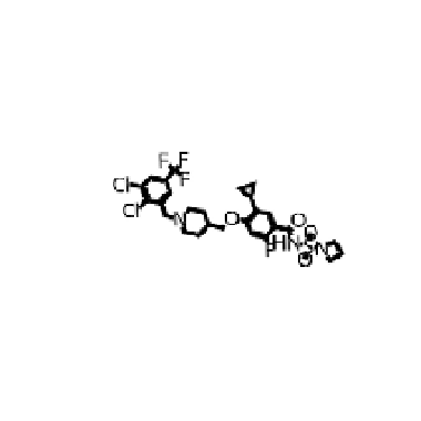 O=C(NS(=O)(=O)N1CCC1)c1cc(C2CC2)c(OCC2CCN(Cc3cc(C(F)(F)F)cc(Cl)c3Cl)CC2)cc1F